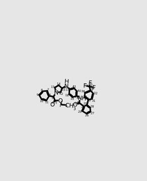 CCOC(=O)C(c1ccccc1)N1CCC(Nc2ccc(NC(=O)c3ccccc3-c3ccc(C(F)(F)F)cc3)cc2)C1